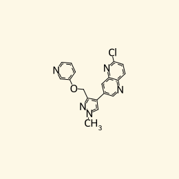 Cn1cc(-c2cnc3ccc(Cl)nc3c2)c(COc2cccnc2)n1